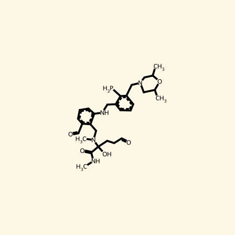 CNC(=O)C(O)(CCC=O)N(C)Cc1c(C=O)cccc1NCc1cccc(CN2CC(C)OC(C)C2)c1P